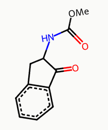 COC(=O)NC1Cc2ccccc2C1=O